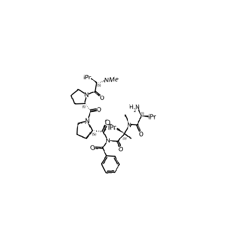 CN[C@H](C(=O)N1CCC[C@H]1C(=O)N1CCC[C@H]1C(=O)N(C(=O)c1ccccc1)C(=O)[C@](C)(C(C)C)N(C)C(=O)[C@@H](N)C(C)C)C(C)C